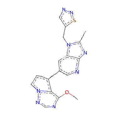 COc1ncnn2ccc(-c3cnc4nc(C)n(Cc5cnns5)c4c3)c12